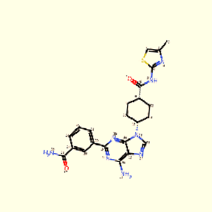 Cc1csc(NC(=O)[C@H]2CC[C@@H](n3cnc4c(N)nc(-c5cccc(C(N)=O)c5)nc43)CC2)n1